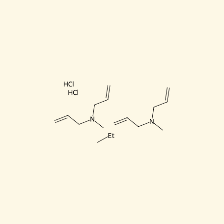 C=CCN(C)CC=C.C=CCN(C)CC=C.CCC.Cl.Cl